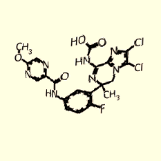 COc1cnc(C(=O)Nc2ccc(F)c(C3(C)Cn4c(nc(Cl)c4Cl)C(NC(=O)O)=N3)c2)cn1